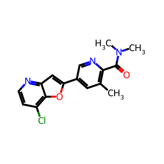 Cc1cc(-c2cc3nccc(Cl)c3o2)cnc1C(=O)N(C)C